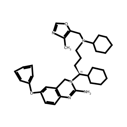 Cc1ncoc1CN(CCC[C@@H](C1CCCCC1)N1Cc2cc(Oc3ccccc3)ccc2N=C1N)C1CCCCC1